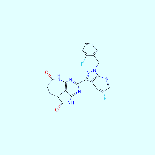 CC12CCC(=O)Nc3nc(-c4nn(Cc5ccccc5F)c5ncc(F)cc45)nc(c31)NC2=O